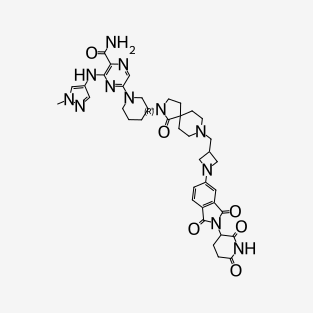 Cn1cc(Nc2nc(N3CCC[C@@H](N4CCC5(CCN(CC6CN(c7ccc8c(c7)C(=O)N(C7CCC(=O)NC7=O)C8=O)C6)CC5)C4=O)C3)cnc2C(N)=O)cn1